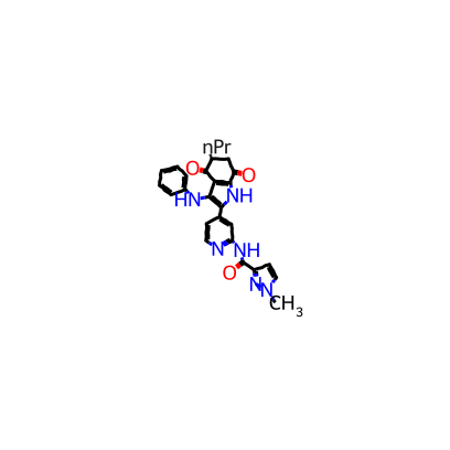 CCC[C@H]1CC(=O)c2[nH]c(-c3ccnc(NC(=O)c4ccn(C)n4)c3)c(Nc3ccccc3)c2C1=O